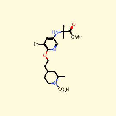 CCc1cc(NC(C)(C)C(=O)OC)cnc1OCCC1CCN(C(=O)O)C(C)C1